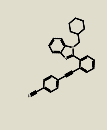 N#Cc1ccc(C#Cc2ccccc2-c2nc3ccccc3n2CC2CCCCC2)cc1